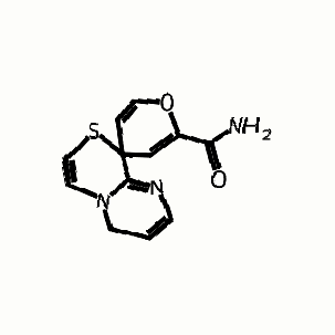 NC(=O)C1=CC2(C=CO1)SC=CN1CC=CN=C12